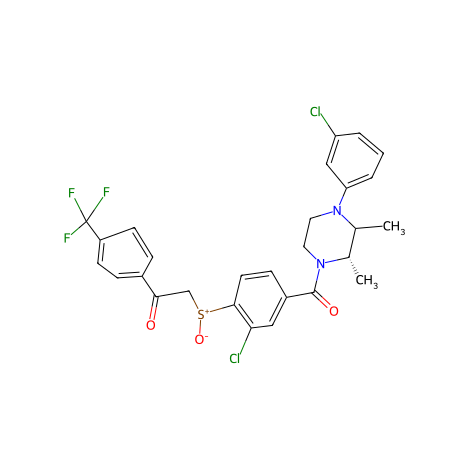 CC1[C@H](C)N(C(=O)c2ccc([S+]([O-])CC(=O)c3ccc(C(F)(F)F)cc3)c(Cl)c2)CCN1c1cccc(Cl)c1